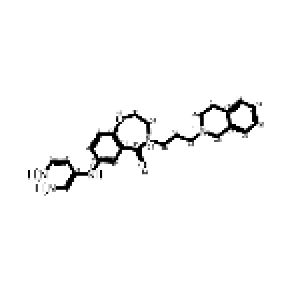 N/C=C\C(=C/N)Nc1ccc2c(c1)C(=O)N(CCCN1CCc3ccccc3C1)CCO2